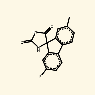 Cc1ccc2c(c1)C1(NC(=O)NC1=O)c1cc(F)ccc1-2